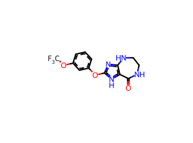 O=C1NCCNc2nc(Oc3cccc(OC(F)(F)F)c3)[nH]c21